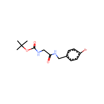 CC(C)(C)OC(=O)NCC(=O)NCc1ccc(Br)cc1